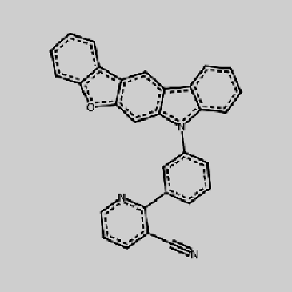 N#Cc1cccnc1-c1cccc(-n2c3ccccc3c3cc4c(cc32)oc2ccccc24)c1